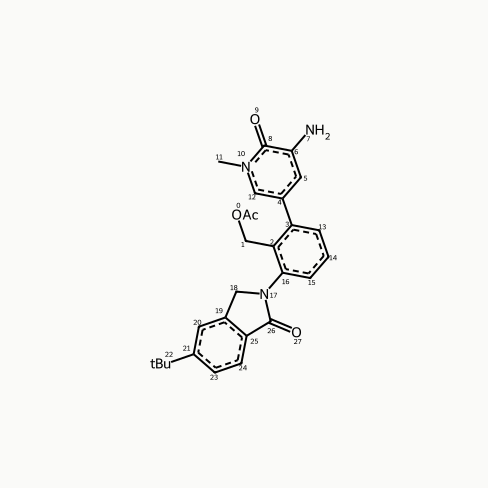 CC(=O)OCc1c(-c2cc(N)c(=O)n(C)c2)cccc1N1Cc2cc(C(C)(C)C)ccc2C1=O